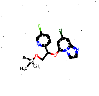 CC(C)(C)[Si](C)(C)OCC(Oc1cc(Cl)cc2nccn12)c1ccc(F)cn1